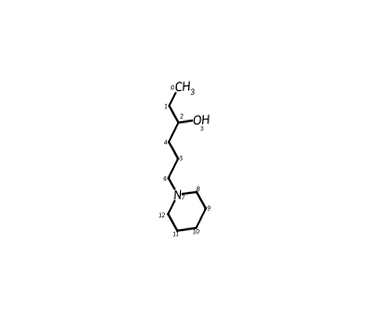 CCC(O)CCCN1CCCCC1